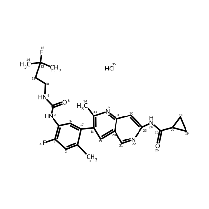 Cc1cc(F)c(NC(=O)NCCC(C)(C)F)cc1-c1cc2cnc(NC(=O)C3CC3)cc2nc1C.Cl